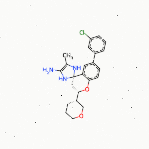 CC1=C(N)N[C@@]2(C[C@@H]([C@H]3CCCOC3)Oc3ccc(-c4cccc(Cl)c4)cc32)N1